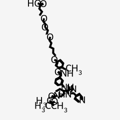 CC(NC(=O)c1cccc(NC2(c3nnc(-c4ccncc4)[nH]3)CCN(C(=O)OC(C)(C)C)CC2)c1)c1ccc(OCCCCCCOCCOCCOCCCC(=O)O)cc1